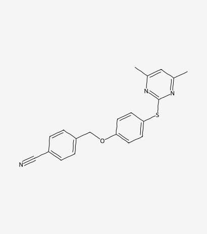 Cc1cc(C)nc(Sc2ccc(OCc3ccc(C#N)cc3)cc2)n1